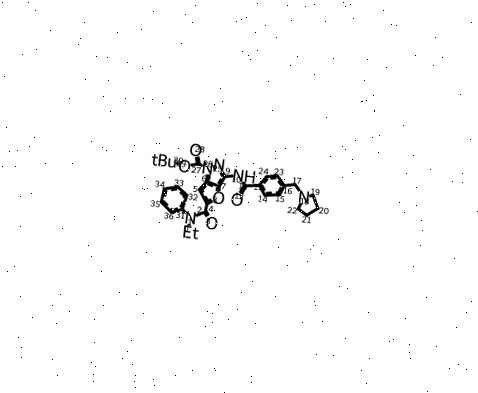 CCN(C(=O)c1cc2c(o1)c(NC(=O)c1ccc(CN3CCCC3)cc1)nn2C(=O)OC(C)(C)C)c1ccccc1